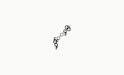 CC1COC(c2ccc(C3CCC(C4CCC(C(F)(F)Oc5ccc(F)cc5)CC4)CC3)c(F)c2)OC1